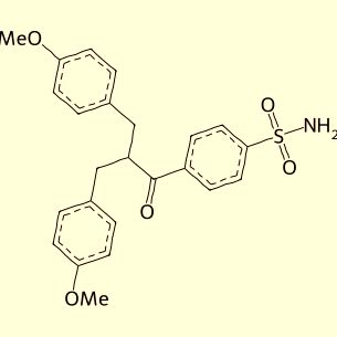 COc1ccc(CC(Cc2ccc(OC)cc2)C(=O)c2ccc(S(N)(=O)=O)cc2)cc1